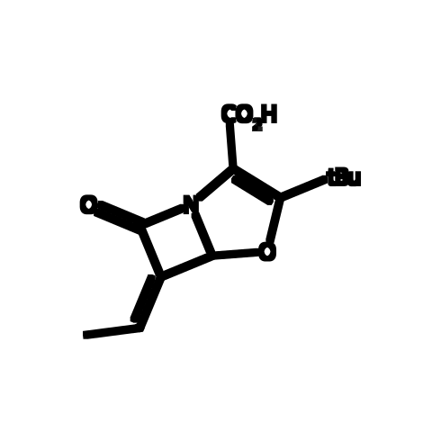 CC=C1C(=O)N2C(C(=O)O)=C(C(C)(C)C)OC12